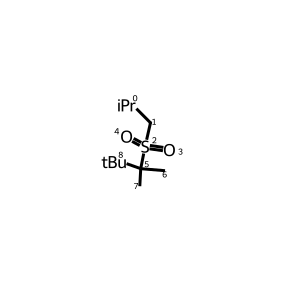 CC(C)CS(=O)(=O)C(C)(C)C(C)(C)C